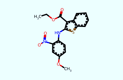 CCOC(=O)c1c(Nc2ccc(OC)cc2[N+](=O)[O-])sc2ccccc12